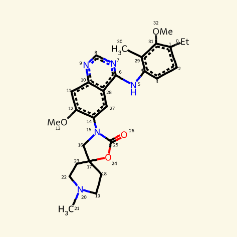 CCc1ccc(Nc2ncnc3cc(OC)c(N4CC5(CCN(C)CC5)OC4=O)cc23)c(C)c1OC